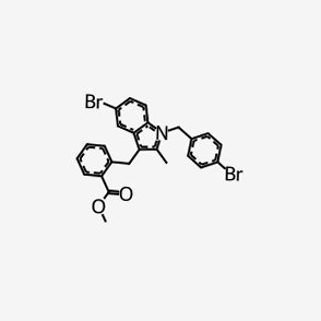 COC(=O)c1ccccc1Cc1c(C)n(Cc2ccc(Br)cc2)c2ccc(Br)cc12